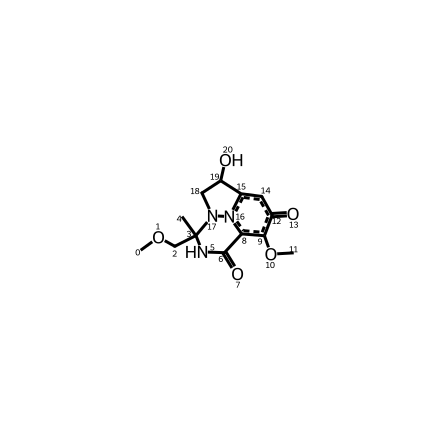 COCC1(C)NC(=O)c2c(OC)c(=O)cc3n2N1CC3O